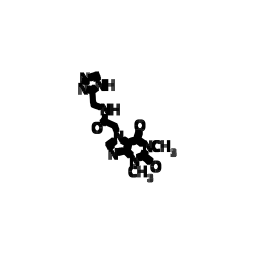 Cn1c(=O)c2c(ncn2CC(=O)NCc2nnc[nH]2)n(C)c1=O